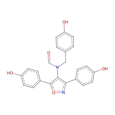 O=CN(Cc1ccc(O)cc1)c1c(-c2ccc(O)cc2)noc1-c1ccc(O)cc1